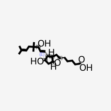 CC(C)=CCC(C)(C)[C@H](O)/C=C/[C@@H]1[C@H]2C[C@@H](CCCCC(=O)O)O[C@H]2C[C@H]1O